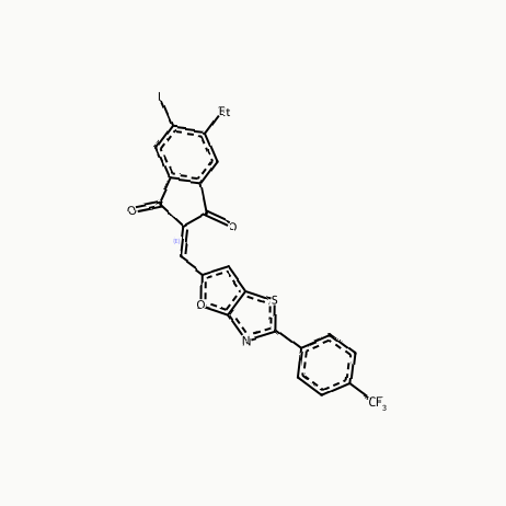 CCc1cc2c(cc1I)C(=O)/C(=C/c1cc3sc(-c4ccc(C(F)(F)F)cc4)nc3o1)C2=O